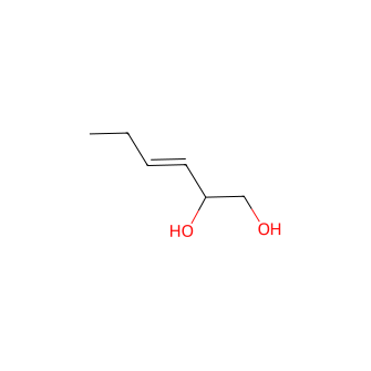 CCC=CC(O)CO